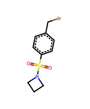 O=S(=O)(c1ccc(CBr)cc1)N1CCC1